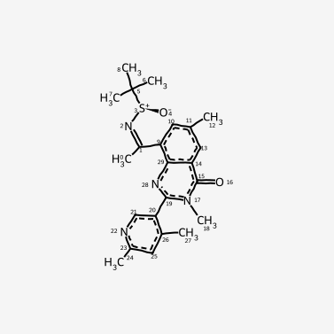 C/C(=N/[S@+]([O-])C(C)(C)C)c1cc(C)cc2c(=O)n(C)c(-c3cnc(C)cc3C)nc12